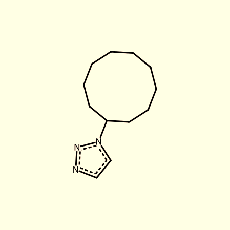 c1cn(C2CCCCCCCCC2)nn1